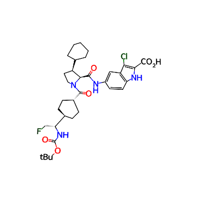 CC(C)(C)OC(=O)N[C@H](CF)[C@H]1CC[C@H](C(=O)N2CC[C@@H](C3CCCCC3)[C@H]2C(=O)Nc2ccc3[nH]c(C(=O)O)c(Cl)c3c2)CC1